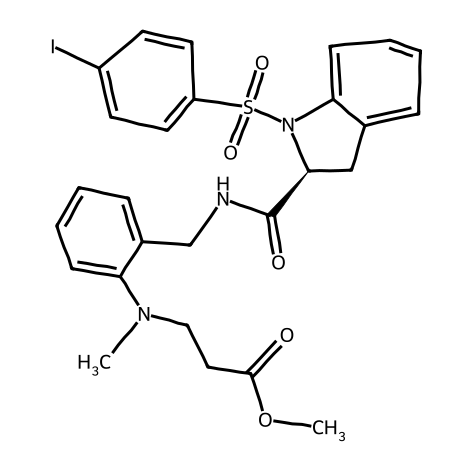 COC(=O)CCN(C)c1ccccc1CNC(=O)[C@@H]1Cc2ccccc2N1S(=O)(=O)c1ccc(I)cc1